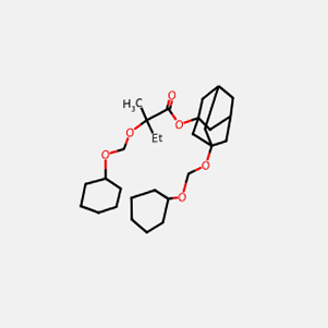 CCC(C)(OCOC1CCCCC1)C(=O)OC12CC3CC(CC(OCOC4CCCCC4)(C3)C1)C2